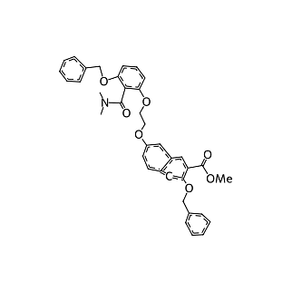 COC(=O)c1cc2cc(OCCOc3cccc(OCc4ccccc4)c3C(=O)N(C)C)ccc2cc1OCc1ccccc1